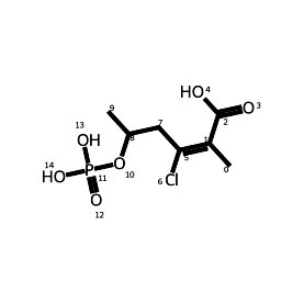 CC(C(=O)O)=C(Cl)CC(C)OP(=O)(O)O